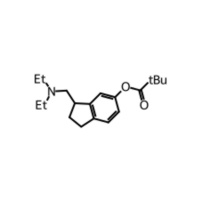 CCN(CC)CC1CCc2ccc(OC(=O)C(C)(C)C)cc21